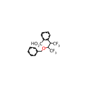 O=C(O)c1ccccc1C(C(OCc1ccccc1)C(F)(F)F)C(F)(F)F